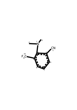 CN(C)c1c(C#N)cccc1C(F)(F)F